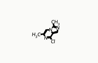 Cc1cn2c(C)ncc2c(Cl)n1